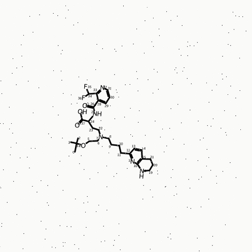 CC(C)(C)OCCN(CCCCc1ccc2c(n1)NCCC2)CCC(NC(=O)c1cccnc1C(F)F)C(=O)O